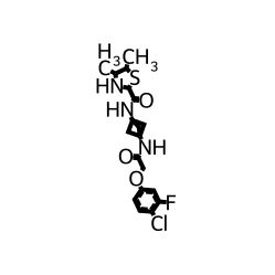 CC1NC(C(=O)NC23CC(NC(=O)COc4ccc(Cl)c(F)c4)(C2)C3)SC1C